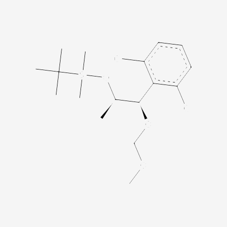 COCO[C@H](c1c(Cl)cccc1Cl)[C@@H](C)O[Si](C)(C)C(C)(C)C